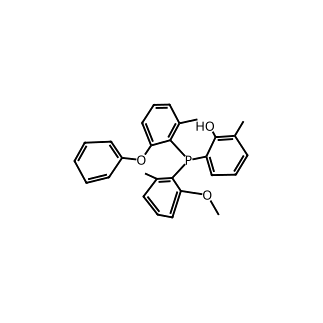 COc1cccc(C)c1P(c1cccc(C)c1O)c1c(C)cccc1Oc1ccccc1